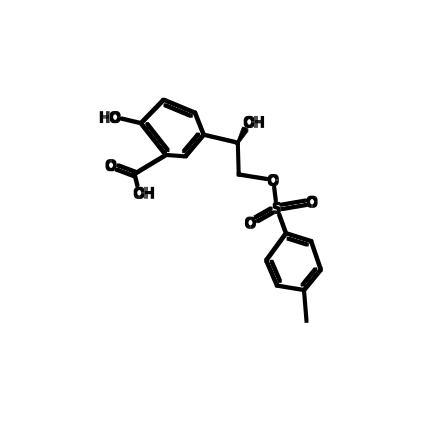 Cc1ccc(S(=O)(=O)OC[C@H](O)c2ccc(O)c(C(=O)O)c2)cc1